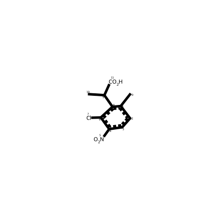 Cc1ccc([N+](=O)[O-])c(Cl)c1C(C)C(=O)O